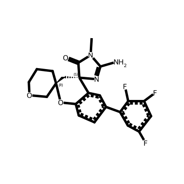 CN1C(=O)[C@@]2(C[C@@]3(CCCOC3)Oc3ccc(-c4cc(F)cc(F)c4F)cc32)N=C1N